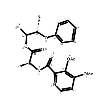 COc1ccnc(C(=O)N[C@@H](C)C(=O)OC(C(C)C)[C@H](C)Oc2ccccc2)c1OC(C)=O